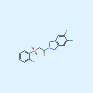 O=C(CS(=O)(=O)c1ccccc1F)N1Cc2cc(F)c(F)cc2C1